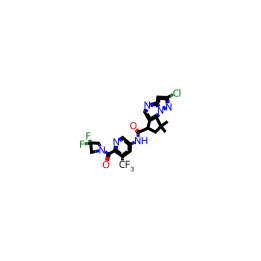 CC1(C)CC(C(=O)Nc2cnc(C(=O)N3CC(F)(F)C3)c(C(F)(F)F)c2)c2cnc3cc(Cl)nn3c21